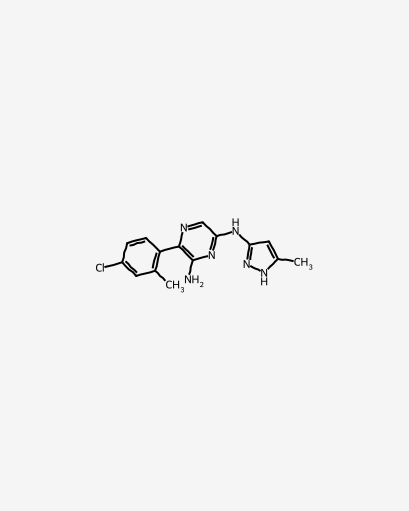 Cc1cc(Nc2cnc(-c3ccc(Cl)cc3C)c(N)n2)n[nH]1